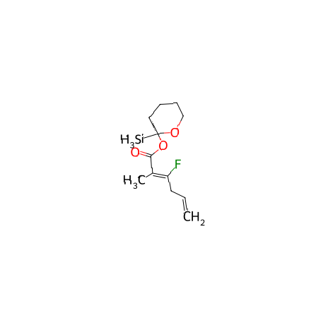 C=CCC(F)=C(C)C(=O)OC1([SiH3])CCCCO1